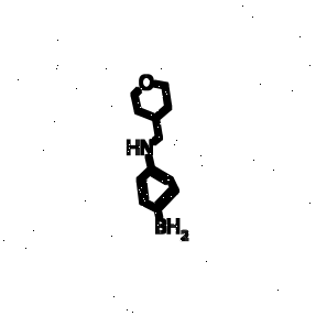 Bc1ccc(NCC2CCOCC2)cc1